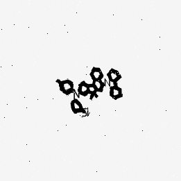 Cc1ccc(N(c2cccc([Si](C)(C)C)c2)c2ccc3c(c2)C(C)(C)c2cc(-n4c5ccccc5c5ccccc54)c4ccccc4c2-3)cc1